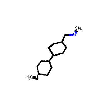 C=CC1CCC(C2CCC(CN=C)CC2)CC1